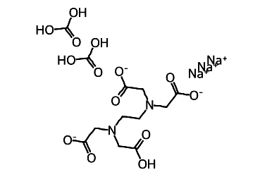 O=C(O)O.O=C(O)O.O=C([O-])CN(CCN(CC(=O)[O-])CC(=O)O)CC(=O)[O-].[Na+].[Na+].[Na+]